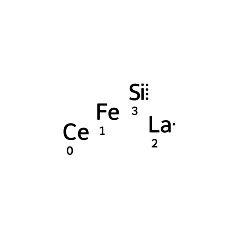 [Ce].[Fe].[La].[Si]